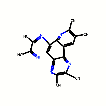 N#CC(=N)/C(C#N)=N\c1cc2nc(C#N)c(C#N)nc2c2cc(C#N)c(C#N)nc12